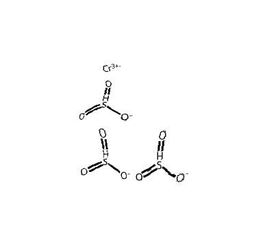 O=[SH](=O)[O-].O=[SH](=O)[O-].O=[SH](=O)[O-].[Cr+3]